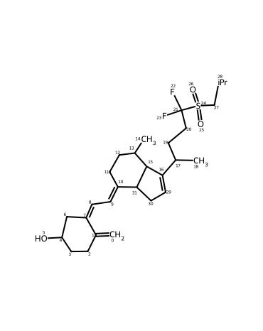 C=C1CCC(O)CC1=CC=C1CCC(C)C2C(C(C)CCC(F)(F)S(=O)(=O)CC(C)C)=CCC12